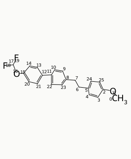 COc1ccc(CCc2ccc(-c3ccc(OC(F)F)cc3)cc2)cc1